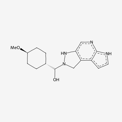 CO[C@H]1CC[C@H](C(O)N2Cc3c(cnc4[nH]ccc34)N2)CC1